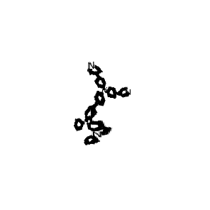 c1ccc(-n2ccc3cc4c5cc(-c6ccc(N(c7ccc(-c8ccncc8)cc7)c7ccc(-c8ccncc8)cc7)cc6)ccc5n(-c5ccccc5)c4cc32)cc1